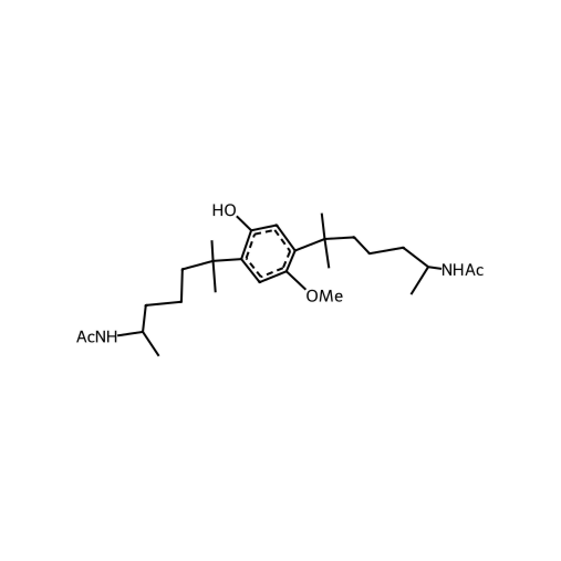 COc1cc(C(C)(C)CCCC(C)NC(C)=O)c(O)cc1C(C)(C)CCCC(C)NC(C)=O